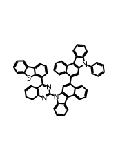 C1=Cc2c(nc(-n3c4ccccc4c4c5ccccc5c(-c5cc6c(c7ccccc57)c5ccccc5n6-c5ccccc5)cc43)nc2-c2cccc3c2sc2ccccc23)CC1